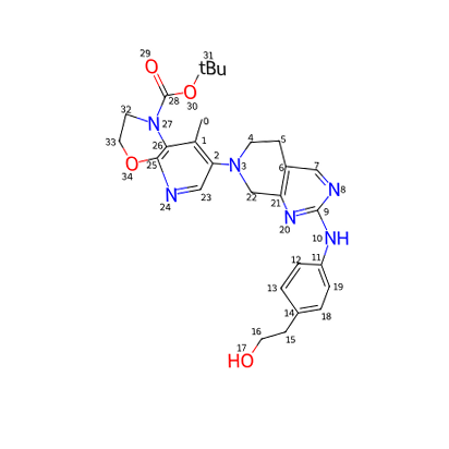 Cc1c(N2CCc3cnc(Nc4ccc(CCO)cc4)nc3C2)cnc2c1N(C(=O)OC(C)(C)C)CCO2